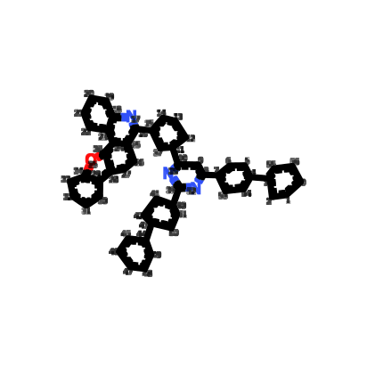 c1ccc(-c2ccc(-c3cc(-c4cccc(-c5nc6ccccc6c6c5ccc5c7ccccc7oc56)c4)nc(-c4ccc(-c5ccccc5)cc4)n3)cc2)cc1